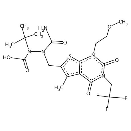 COCCn1c(=O)n(CC(F)(F)F)c(=O)c2c(C)c(CN(C(N)=O)N(C(=O)O)C(C)(C)C)sc21